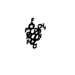 CC(=O)OC(c1cccnc1)c1c(-c2ccc(Cl)cc2F)noc1-c1ccc(F)cc1F